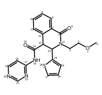 COCCN1C(=O)c2ccccc2C(C(=O)Nc2ccncn2)C1c1cccs1